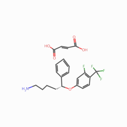 NCCCC[C@@H](Oc1ccc(C(F)(F)F)c(F)c1)c1ccccc1.O=C(O)/C=C/C(=O)O